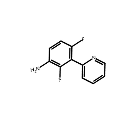 Nc1ccc(F)c(-c2ccccn2)c1F